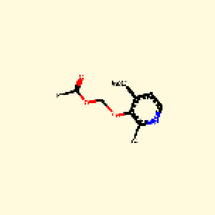 COc1ccnc(C(C)=O)c1OCOC(=O)C(C)C